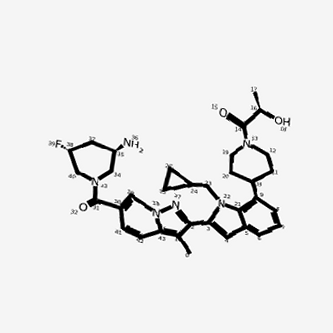 Cc1c(-c2cc3cccc(C4CCN(C(=O)[C@@H](C)O)CC4)c3n2CC2CC2)nn2cc(C(=O)N3C[C@H](N)C[C@@H](F)C3)ccc12